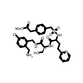 COC(=O)Cc1ccc(CS(=O)(=O)NC(CCc2ccccn2)C(=O)N[C@@H](CO)C(=O)NCc2cc(Cl)ccc2CN)cc1